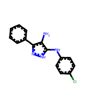 Nc1c(-c2ccccc2)n[nH]c1Nc1ccc(Cl)cc1